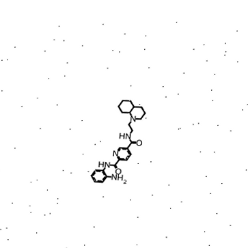 Nc1ccccc1NC(=O)c1ccc(C(=O)NCCN2CCCC3CCCCC32)cn1